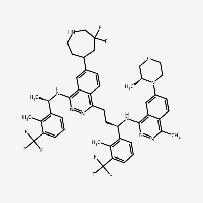 Cc1c([C@@H](C)Nc2nnc(CC[C@@H](Nc3nnc(C)c4ccc(N5CCOC[C@@H]5C)cc34)c3cccc(C(F)(F)F)c3C)c3ccc(C4CCNCC(F)(F)C4)cc23)cccc1C(F)(F)F